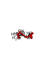 Cc1ncsc1-c1ccc([C@H](C)NC(=O)[C@@H]2C[C@@H](O)CN2C(=O)[C@H](c2cc(OCCCN3CCC(OC4CC(Oc5cc(N6C7CC[C@@H]6CN(c6cc(-c8ccccc8O)nnc6N)C7)ccn5)C4)CC3)no2)C(C)C)cc1